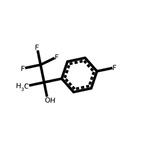 CC(O)(c1ccc(F)cc1)C(F)(F)F